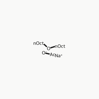 CC(=O)[O-].CCCCCCCCOCCCCCCCC.[Na+]